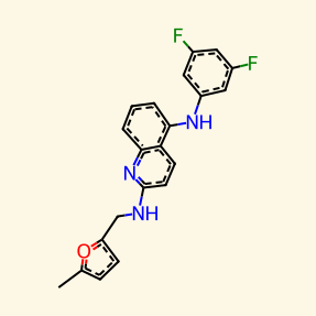 Cc1ccc(CNc2ccc3c(Nc4cc(F)cc(F)c4)cccc3n2)o1